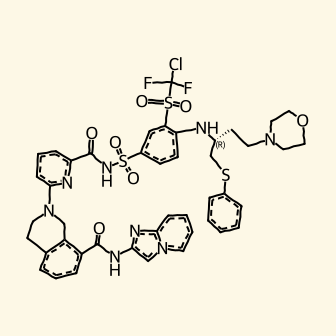 O=C(NS(=O)(=O)c1ccc(N[C@H](CCN2CCOCC2)CSc2ccccc2)c(S(=O)(=O)C(F)(F)Cl)c1)c1cccc(N2CCc3cccc(C(=O)Nc4cn5ccccc5n4)c3C2)n1